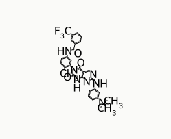 Cc1ccc(NC(=O)c2cccc(C(F)(F)F)c2)cc1-n1c(=O)[nH]c2nc(Nc3cccc(N(C)C)c3)ncc2c1=O